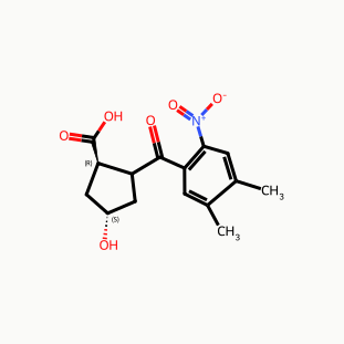 Cc1cc(C(=O)C2C[C@H](O)C[C@H]2C(=O)O)c([N+](=O)[O-])cc1C